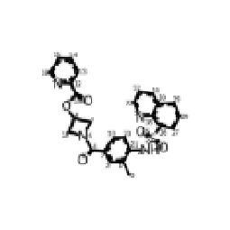 Cc1cc(C(=O)N2CC(OC(=O)c3ccccn3)C2)ccc1NS(=O)(=O)c1cccc2cccnc12